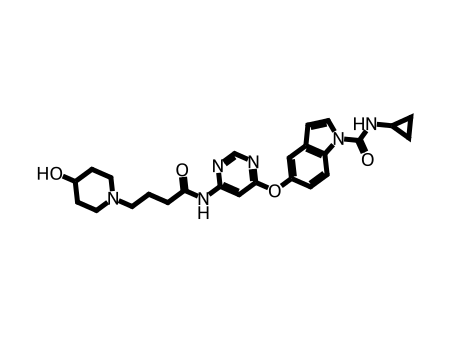 O=C(CCCN1CCC(O)CC1)Nc1cc(Oc2ccc3c(ccn3C(=O)NC3CC3)c2)ncn1